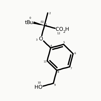 CC(C)(C)[C@](C)(Oc1cccc(CO)c1)C(=O)O